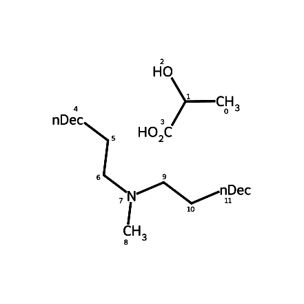 CC(O)C(=O)O.CCCCCCCCCCCCN(C)CCCCCCCCCCCC